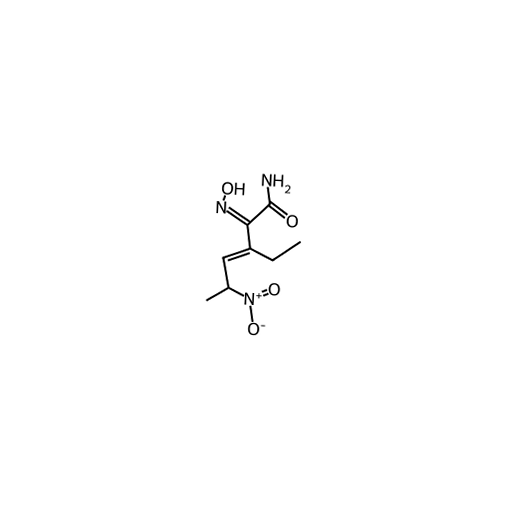 CCC(=CC(C)[N+](=O)[O-])C(=NO)C(N)=O